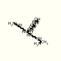 C[C@@H](N)CCNCCCCNC(=O)CC(=O)NCCCCCCNC=NN.O=C(O)C(F)(F)F.O=C(O)C(F)(F)F.O=C(O)C(F)(F)F